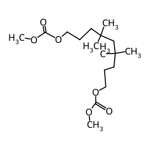 COC(=O)OCCCC(C)(C)CC(C)(C)CCCOC(=O)OC